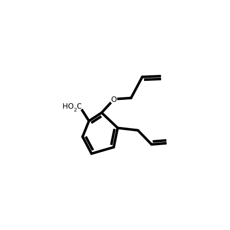 C=CCOc1c(CC=C)cccc1C(=O)O